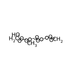 C=CC(=O)Oc1ccc(-c2ccc(OC(=O)/C=C/c3ccc(OCCOC(=O)C(=C)CO)c(C)c3)cc2)cc1